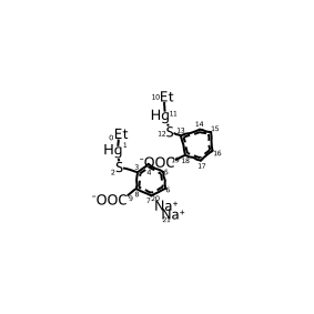 C[CH2][Hg][S]c1ccccc1C(=O)[O-].C[CH2][Hg][S]c1ccccc1C(=O)[O-].[Na+].[Na+]